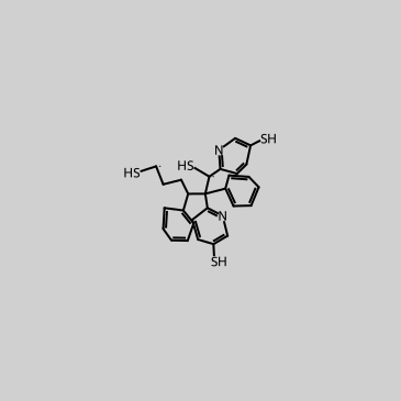 S[CH]CCC(c1ccccc1)C([C](S)c1ccc(S)cn1)(c1ccccc1)c1ccc(S)cn1